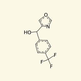 OC(c1ccc(C(F)(F)F)cc1)c1cocn1